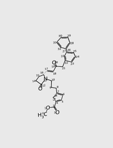 COC(=O)c1ccc(CCCN2C(=O)CC[C@@H]2C=CC(=O)Cc2cccc(-c3ccccc3)c2)s1